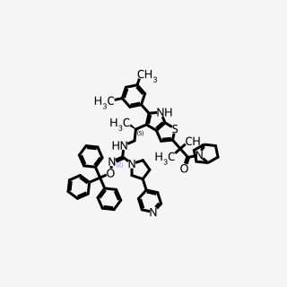 Cc1cc(C)cc(-c2[nH]c3sc(C(C)(C)C(=O)N4C5CCC4CC5)cc3c2[C@H](C)CN/C(=N/OC(c2ccccc2)(c2ccccc2)c2ccccc2)N2CCC(c3ccncc3)C2)c1